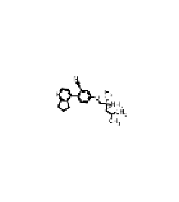 CC(C)C[C@](C)(N)COc1ccc(-c2ccnc3c2CCC3)c(C#N)c1